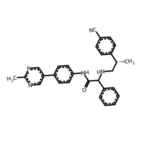 Cc1ncc(-c2ccc(NC(=O)C(NC[C@@H](C)c3ccc(C#N)cc3)c3ccccc3)cc2)cn1